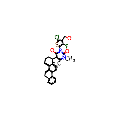 Cn1c(C(F)(F)F)c(C2CCC=c3c2ccc2c3=CCc3ccccc3-2)c(=O)n(-c2sc(Cl)c(C[O])c2F)c1=O